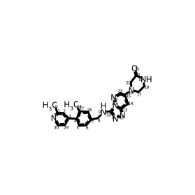 Cc1cc(-c2ccc(CNc3nnc4cc(N5CCNC(=O)C5)cnn34)cc2C)ccn1